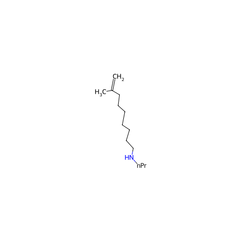 C=C(C)CCCCCCCNCCC